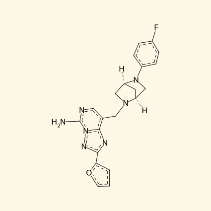 Nc1ncc(CN2C[C@@H]3C[C@H]2CN3c2ccc(F)cc2)c2nc(-c3ccco3)nn12